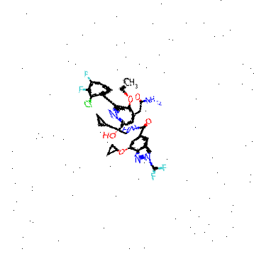 CCOc1c(CC(N)=O)cc([C@@](O)(CNC(=O)c2cc(OC3CC3)c3nn(C(F)F)cc3c2)C2CC2)nc1-c1ccc(F)c(F)c1Cl